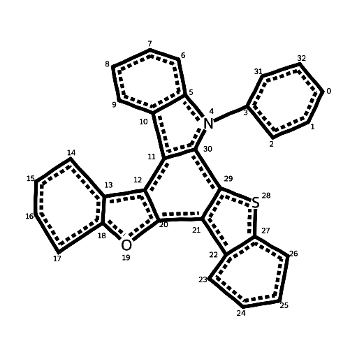 c1ccc(-n2c3ccccc3c3c4c5ccccc5oc4c4c5ccccc5sc4c32)cc1